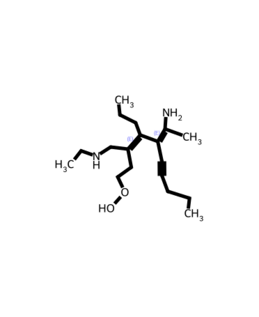 CCCC#CC(=C(\C)N)/C(CCC)=C(\CCOO)CNCC